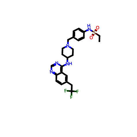 CCS(=O)(=O)Nc1ccc(CN2CCC(Nc3ncnc4ccc(CC(F)(F)F)cc34)CC2)cc1